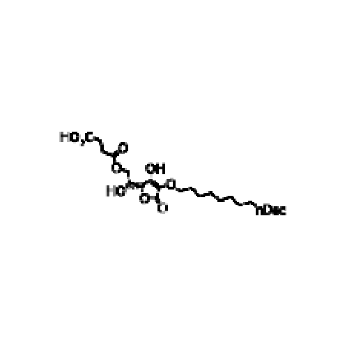 CCCCCCCCCCCCCCCCCCOC1=C(O)[C@@H]([C@@H](O)COC(=O)CCC(=O)O)OC1=O